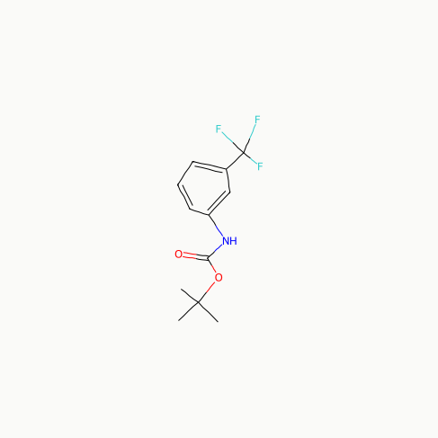 CC(C)(C)OC(=O)Nc1cccc(C(F)(F)F)c1